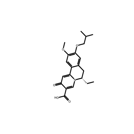 CC[C@H]1Cc2cc(OCC(C)C)c(OC)cc2-c2cc(=O)c(C(=O)O)cn21